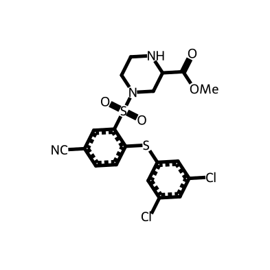 COC(=O)C1CN(S(=O)(=O)c2cc(C#N)ccc2Sc2cc(Cl)cc(Cl)c2)CCN1